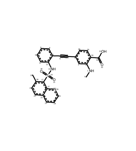 CNc1cc(C#Cc2ccccc2NS(=O)(=O)c2c(C)ccc3cccnc23)ccc1C(=O)O